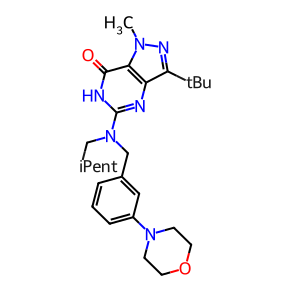 CCCC(C)CN(Cc1cccc(N2CCOCC2)c1)c1nc2c(C(C)(C)C)nn(C)c2c(=O)[nH]1